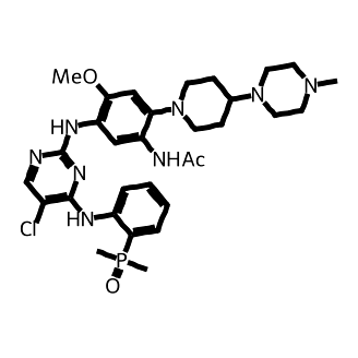 COc1cc(N2CCC(N3CCN(C)CC3)CC2)c(NC(C)=O)cc1Nc1ncc(Cl)c(Nc2ccccc2P(C)(C)=O)n1